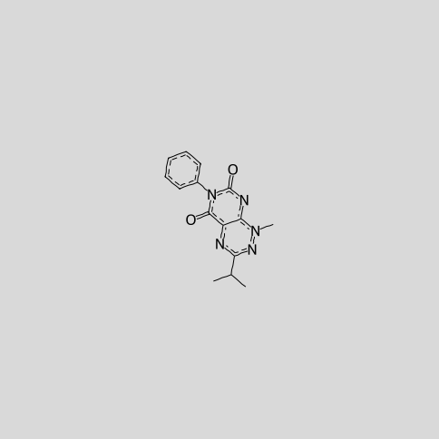 CC(C)c1nc2c(=O)n(-c3ccccc3)c(=O)nc-2n(C)n1